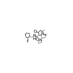 Cc1cc(=O)c(C(=O)NCc2ccccc2F)c2n1[C@H](C)CC2N1CCC1